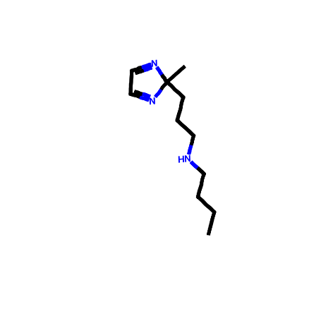 CCCCNCCCC1(C)N=CC=N1